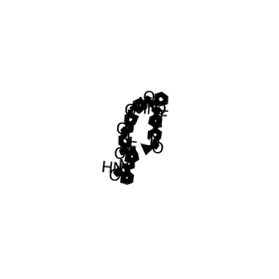 O=C(N[C@@H](C(=O)N1CCC(OC2CCN(CC(=O)N3CCN(C(=O)c4cc(Cc5n[nH]c(=O)c6ccccc56)ccc4F)CC3)CC2)CC1)C1CCCCC1)c1ccc(C2CCN(C(=O)C3CC3)CC2)cc1F